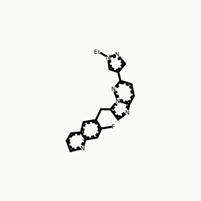 CCn1cc(-c2ccc3ncc(Cc4cc5cccnc5cc4F)n3n2)cn1